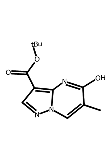 Cc1cn2ncc(C(=O)OC(C)(C)C)c2nc1O